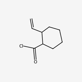 C=CC1CCCCC1C(=O)Cl